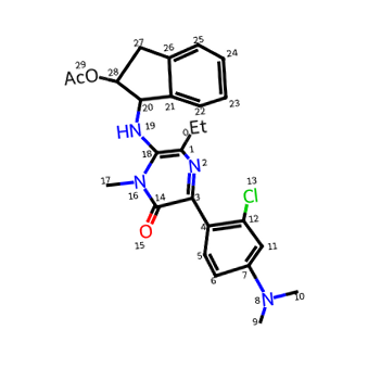 CCc1nc(-c2ccc(N(C)C)cc2Cl)c(=O)n(C)c1NC1c2ccccc2CC1OC(C)=O